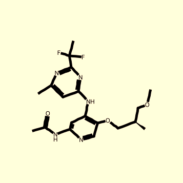 COC[C@@H](C)COc1cnc(NC(C)=O)cc1Nc1cc(C)nc(C(C)(F)F)n1